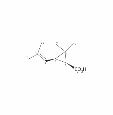 CC(C)=C[C@@H]1[C@H](C(=O)O)C1(C)C